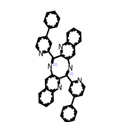 c1ccc(-c2ccnc(/C3=N/c4cc5ccccc5nc4/C(c4cc(-c5ccccc5)ccn4)=N\c4cc5ccccc5nc43)c2)cc1